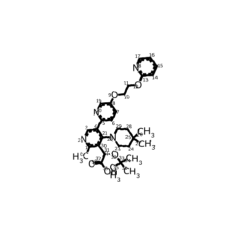 Cc1ncc(-c2ccc(OCCOc3ccccn3)cn2)c(N2CCC(C)(C)CC2)c1[C@H](OC(C)(C)C)C(=O)O